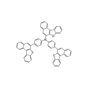 c1ccc2c(c1)cc(N(c1ccc(-c3cc4ccccc4c4c3sc3ccccc34)cc1)c1ccc(-c3cc4ccccc4c4c3sc3ccccc34)cc1)c1oc3ccccc3c12